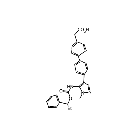 CCC(OC(=O)Nc1c(-c2ccc(-c3ccc(CC(=O)O)cc3)cc2)cnn1C)c1ccccc1